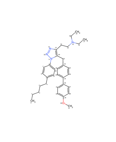 CCCCCc1ccc(-n2nnc(CCN(CC)CC)c2Cc2ccc(-c3ccc(OC)cc3)cc2)cc1